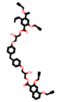 C#CCOC(=C)c1cc(OCC#C)c(C(=O)OCC(O)COc2ccc(Cc3ccc(OCC(O)COC(=O)c4cc5cccc(OCC#C)c5cc4OCC#C)cc3)cc2)cc1/C=C\C